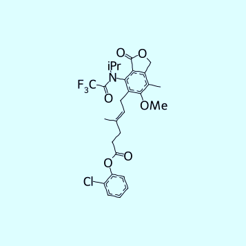 COc1c(C)c2c(c(N(C(=O)C(F)(F)F)C(C)C)c1C/C=C(\C)CCC(=O)Oc1ccccc1Cl)C(=O)OC2